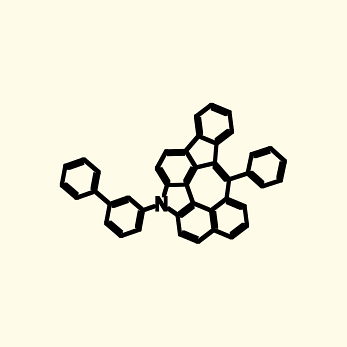 c1ccc(-c2cccc(-n3c4ccc5c6c4c4c7c(cccc7c(-c7ccccc7)c-6c6ccccc65)ccc43)c2)cc1